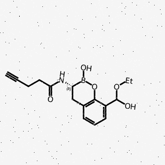 C#CCCC(=O)N[C@H]1Cc2cccc(C(O)OCC)c2OB1O